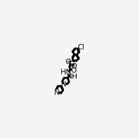 O=C(CS(=O)(=O)c1ccc2cc(Cl)ccc2c1)NNC1CCN(c2ccncc2)CC1